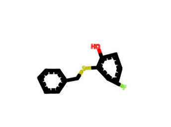 Oc1ccc(F)cc1SCc1ccccc1